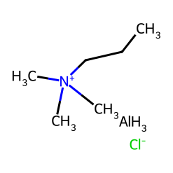 CCC[N+](C)(C)C.[AlH3].[Cl-]